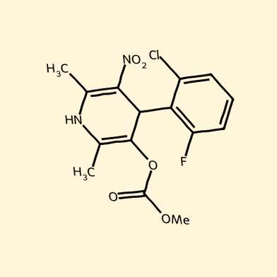 COC(=O)OC1=C(C)NC(C)=C([N+](=O)[O-])C1c1c(F)cccc1Cl